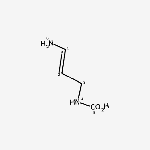 NC=CCNC(=O)O